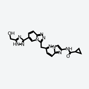 O=C(Nc1cn2nc(Cc3nnc4ccc(-c5n[nH]c(CO)n5)cn34)ccc2n1)C1CC1